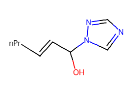 CCCC=CC(O)n1cncn1